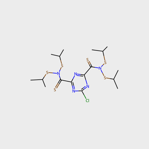 CC(C)SN(SC(C)C)C(=S)c1nc(Cl)nc(C(=S)N(SC(C)C)SC(C)C)n1